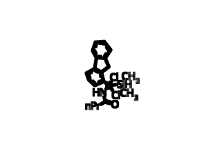 CCCC(=O)[NH][Ti]([Cl])([Cl])([c]1cccc2c1Cc1ccccc1-2)[SiH](C)C